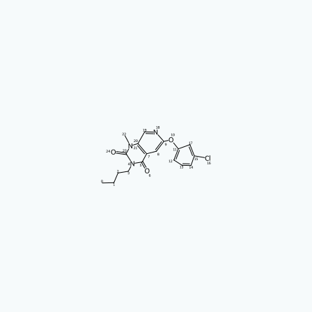 CCCCn1c(=O)c2cc(Oc3cccc(Cl)c3)ncc2n(C)c1=O